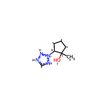 CC1(O)CCCC1n1ncnn1